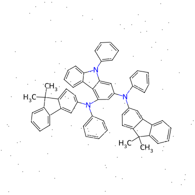 CC1(C)c2ccccc2-c2cc(N(c3ccccc3)c3cc(N(c4ccccc4)c4ccc5c(c4)-c4ccccc4C5(C)C)c4c5ccccc5n(-c5ccccc5)c4c3)ccc21